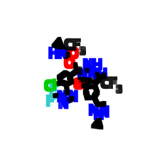 CC(C)(C[C@]1(C2(C)C=CC(c3cnn(C4CC4)n3)=CC2)NC(=N)N([C@H](COC(=O)NC2(C(F)(F)F)CC2)c2ccc(Cl)c(-c3ncnn3C(F)F)c2)C1=O)C(F)(F)F